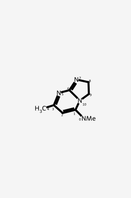 CNC1=CC(C)=NC2=NCCN12